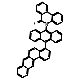 O=c1c2ccccc2c2ccccc2n1-c1c2ccccc2c(-c2cccc3c2ccc2cc4ccccc4cc23)c2ccccc12